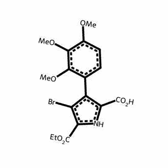 CCOC(=O)c1[nH]c(C(=O)O)c(-c2ccc(OC)c(OC)c2OC)c1Br